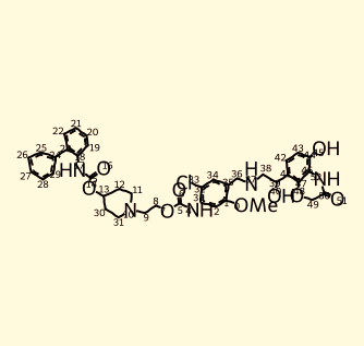 COc1cc(NC(=O)OCCN2CCC(OC(=O)Nc3ccccc3-c3ccccc3)CC2)c(Cl)cc1CNC[C@H](O)c1ccc(O)c2c1OCC(=O)N2